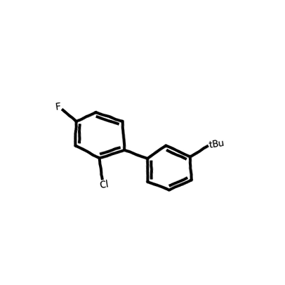 CC(C)(C)c1cccc(-c2ccc(F)cc2Cl)c1